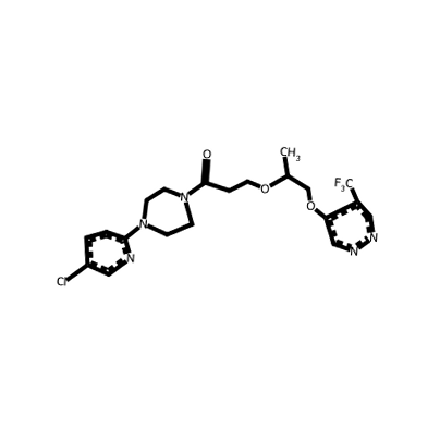 CC(COc1cnncc1C(F)(F)F)OCCC(=O)N1CCN(c2ccc(Cl)cn2)CC1